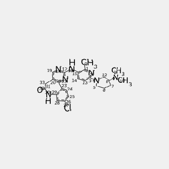 Cc1nc(N2CCCC(N(C)C)C2)ccc1Nc1ncc2c(n1)-c1ccc(Cl)cc1NC(=O)C2